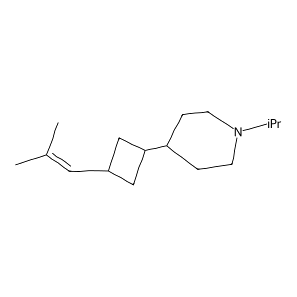 CC(C)=CC1CC(C2CCN(C(C)C)CC2)C1